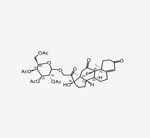 CC(=O)OC[C@H]1OC(OCC(=O)[C@@]2(O)CC[C@H]3[C@@H]4CCC5=CC(=O)CC[C@]5(C)[C@@]4(F)C(=O)C[C@@]32C)[C@H](OC(C)=O)[C@@H](OC(C)=O)[C@H]1OC(C)=O